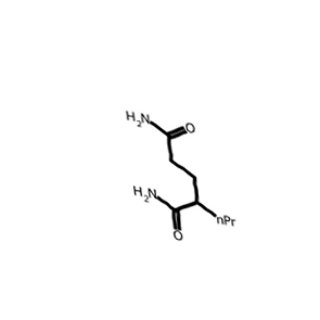 CCCC(CCC(N)=O)C(N)=O